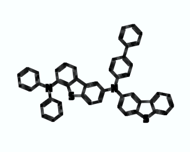 c1ccc(-c2ccc(N(c3ccc4sc5ccccc5c4c3)c3ccc4sc5c(N(c6ccccc6)c6ccccc6)cccc5c4c3)cc2)cc1